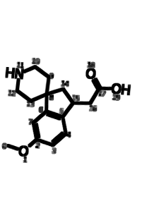 COc1ccc2c(c1)C1(CCNCC1)CC2CC(=O)O